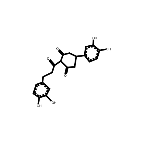 O=C(CCc1ccc(O)c(O)c1)C1C(=O)CC(c2ccc(O)c(O)c2)CC1=O